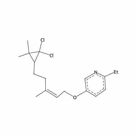 CCc1ccc(OCC=C(C)CCC2C(C)(C)C2(Cl)Cl)cn1